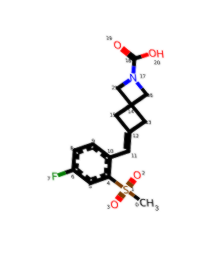 CS(=O)(=O)c1cc(F)ccc1C=C1CC2(C1)CN(C(=O)O)C2